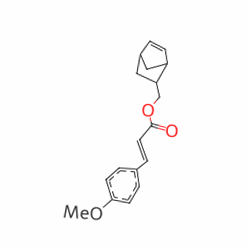 COc1ccc(/C=C/C(=O)OCC2CC3C=CC2C3)cc1